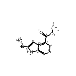 COC(=O)c1cccc2[nH]c(BO)cc12